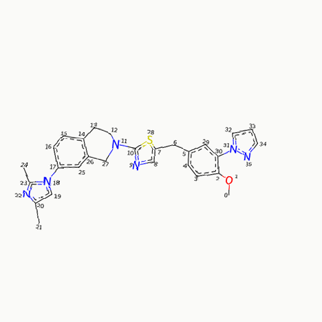 COc1ccc(Cc2cnc(N3CCc4ccc(-n5cc(C)nc5C)cc4C3)s2)cc1-n1cccn1